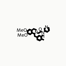 COc1cc2c(cc1OC)C(Cc1ccc(C)c(C)c1)N(CC(=O)Nc1cccnc1)CC2